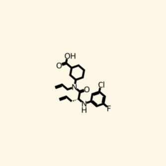 C=CC[C@@H](Nc1cc(F)cc(Cl)c1)C(=O)N(CC=C)C1CCCC(C(=O)O)C1